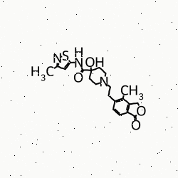 Cc1cc(NC(=O)C2(O)CCN(CCc3ccc4c(c3C)COC4=O)CC2)sn1